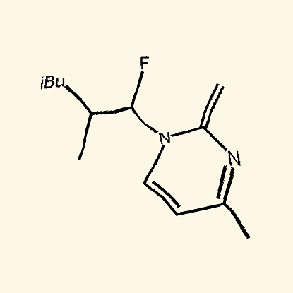 C=C1N=C(C)C=CN1C(F)C(C)C(C)CC